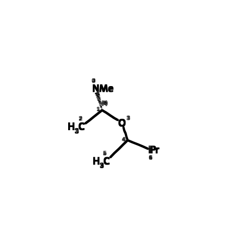 CN[C@@H](C)OC(C)C(C)C